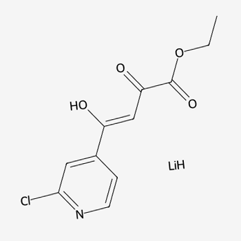 CCOC(=O)C(=O)C=C(O)c1ccnc(Cl)c1.[LiH]